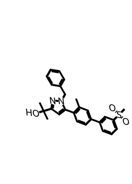 Cc1cc(-c2cccc(S(C)(=O)=O)c2)ccc1-c1cc(C(C)(C)O)nn1Cc1ccccc1